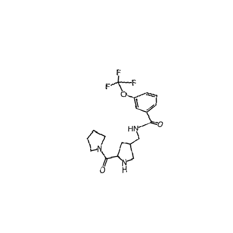 O=C(NCC1CNC(C(=O)N2CCCC2)C1)c1cccc(OC(F)(F)F)c1